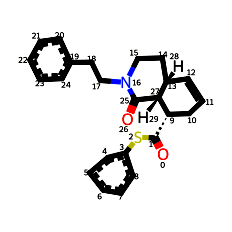 O=C(Sc1ccccc1)[C@H]1CC=C[C@H]2CCN(CCc3ccccc3)C(=O)[C@@H]12